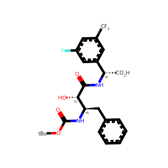 CC(C)(C)OC(=O)N[C@H](Cc1ccccc1)[C@H](O)C(=O)N[C@@H](C(=O)O)c1cc(F)cc(C(F)(F)F)c1